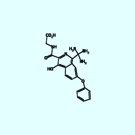 BC(B)(B)c1nc(C(=O)NCC(=O)O)c(O)c2ccc(Oc3ccccc3)cc12